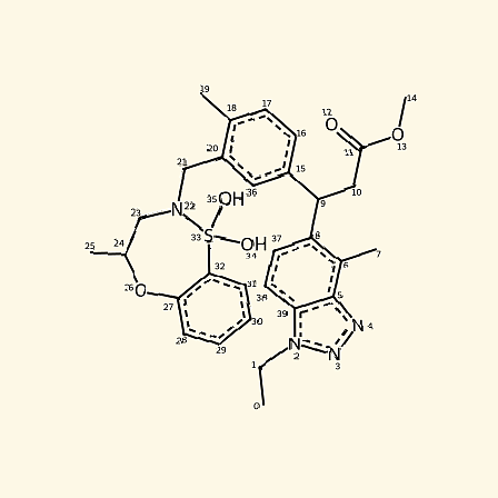 CCn1nnc2c(C)c(C(CC(=O)OC)c3ccc(C)c(CN4CC(C)Oc5ccccc5S4(O)O)c3)ccc21